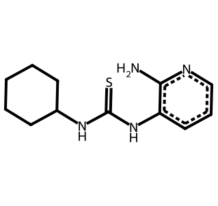 Nc1ncccc1NC(=S)NC1CCCCC1